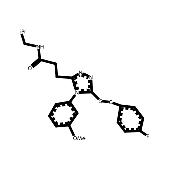 COc1cccc(-n2c(CCC(=O)NCC(C)C)nnc2SCc2ccc(F)cc2)c1